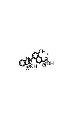 Cc1ccc(N=Nc2ccccc2S(=O)(=O)O)c2ccc(S(=O)(=O)O)cc12